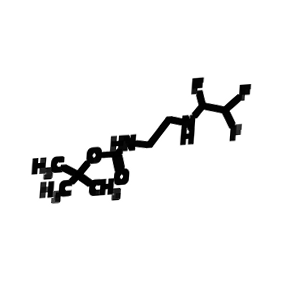 CC(C)(C)OC(=O)NCCNC(F)C(F)F